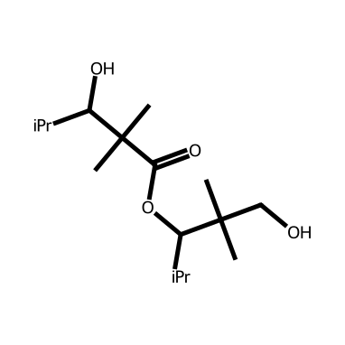 CC(C)C(OC(=O)C(C)(C)C(O)C(C)C)C(C)(C)CO